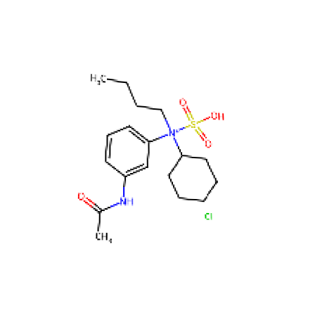 CCCC[N+](c1cccc(NC(C)=O)c1)(C1CCCCC1)S(=O)(=O)O.[Cl-]